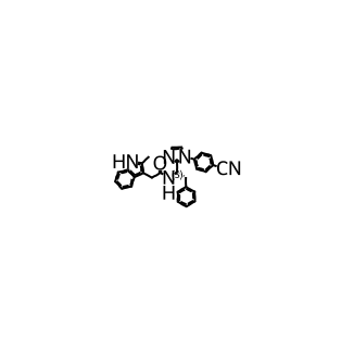 Cc1[nH]c2ccccc2c1CC(=O)N[C@@H](Cc1ccccc1)c1nccn1-c1ccc(C#N)cc1